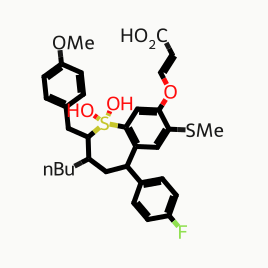 CCCCC1CC(c2ccc(F)cc2)c2cc(SC)c(O/C=C/C(=O)O)cc2S(O)(O)C1Cc1ccc(OC)cc1